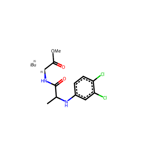 CC[C@H](C)[C@H](NC(=O)C(C)Nc1ccc(Cl)c(Cl)c1)C(=O)OC